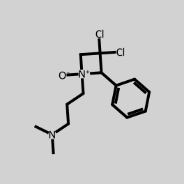 CN(C)CCC[N+]1([O-])CC(Cl)(Cl)C1c1ccccc1